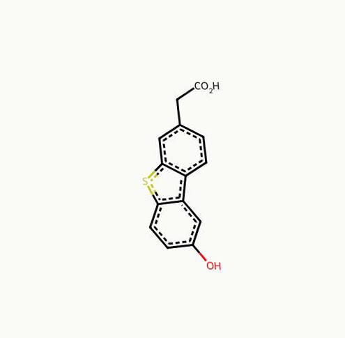 O=C(O)Cc1ccc2c(c1)sc1ccc(O)cc12